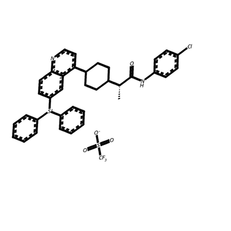 C[C@@H](C(=O)Nc1ccc(Cl)cc1)C1CCC(c2ccnc3ccc([S+](c4ccccc4)c4ccccc4)cc23)CC1.O=S(=O)([O-])C(F)(F)F